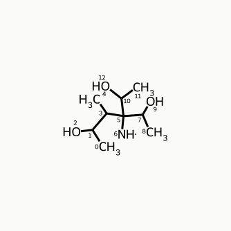 CC(O)C(C)C([NH])(C(C)O)C(C)O